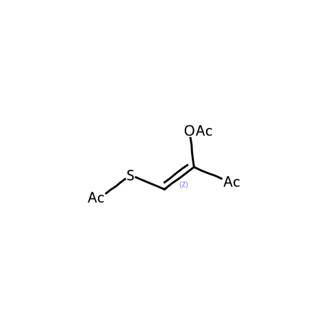 CC(=O)O/C(=C\SC(C)=O)C(C)=O